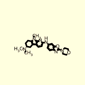 CN(C)[C@@H]1CCc2c(c3ccc(Nc4ccc5nc(N6CCOCC6)oc5c4)nc3n2C)C1